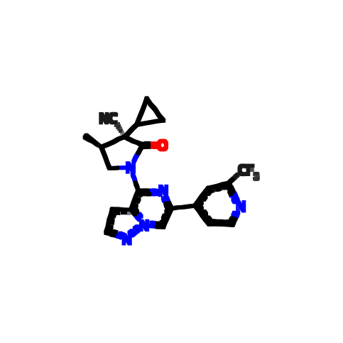 C[C@@H]1CN(c2nc(-c3ccnc(C(F)(F)F)c3)cn3nccc23)C(=O)[C@]1(C#N)C1CC1